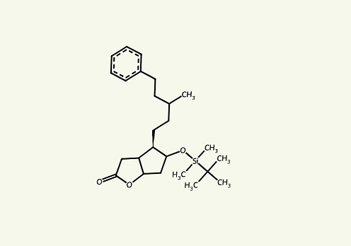 CC(CCc1ccccc1)CC[C@H]1C(O[Si](C)(C)C(C)(C)C)CC2OC(=O)CC21